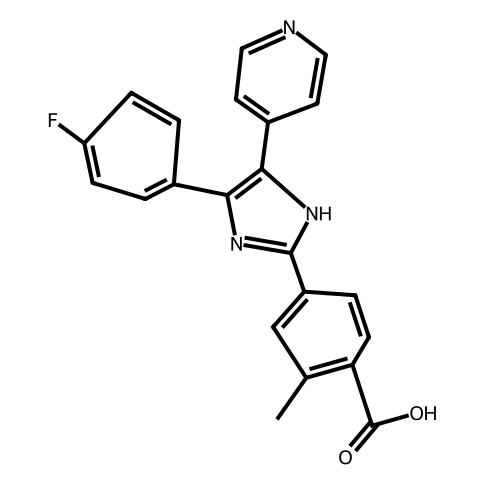 Cc1cc(-c2nc(-c3ccc(F)cc3)c(-c3ccncc3)[nH]2)ccc1C(=O)O